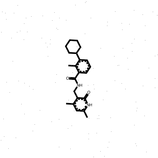 Cc1cc(C)c(CNC(=O)c2cccc(C3CCCCC3)c2C)c(=O)[nH]1